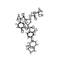 N#CC1(NC(=O)O[C@H]2C[C@@H](S(=O)(=O)c3ccc(N4CCN5CCC[C@H]5C4)cc3Cl)CN2C(=O)C2(c3ccc(Cl)nc3)CC2)CC1